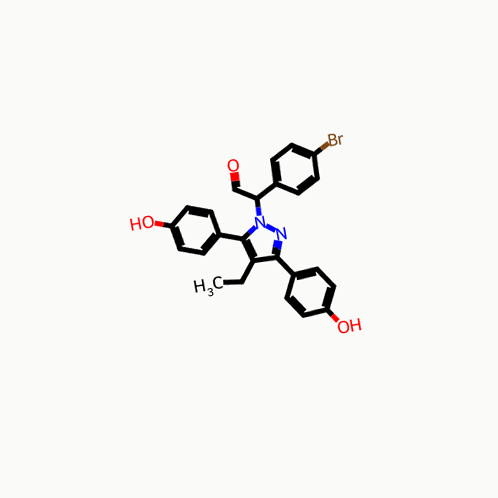 CCc1c(-c2ccc(O)cc2)nn(C(C=O)c2ccc(Br)cc2)c1-c1ccc(O)cc1